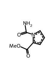 COC(=O)c1cccn1C(N)=O